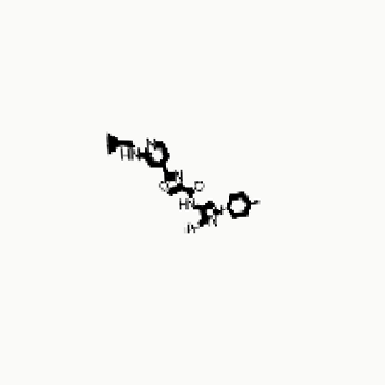 CC(C)c1nn([C@H]2CC[C@H](C)CC2)cc1NC(=O)c1coc(-c2ccnc(NCC3CC3)c2)n1